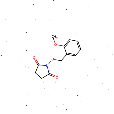 COc1ccccc1CON1C(=O)CCC1=O